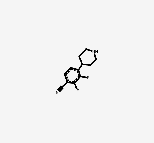 N#Cc1ccc(C2CCNCC2)c(F)c1F